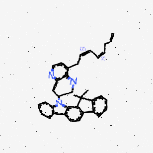 C=CC/C=C\C=C/Cc1ccnc2c1=NCC(n1c3ccccc3c3ccc4c(c31)C(C)(C)c1ccccc1-4)C=2